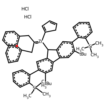 CC(C)(C)c1cc2c(cc1-c1ccccc1[Si](C)(C)C)[CH]([Zr]([C]1=CC=CC1)=[C](Cc1ccccc1)Cc1ccccc1)c1cc(-c3ccccc3[Si](C)(C)C)c(C(C)(C)C)cc1-2.Cl.Cl